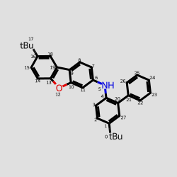 CC(C)(C)c1ccc(Nc2ccc3c(c2)oc2ccc(C(C)(C)C)cc23)c(-c2ccccc2)c1